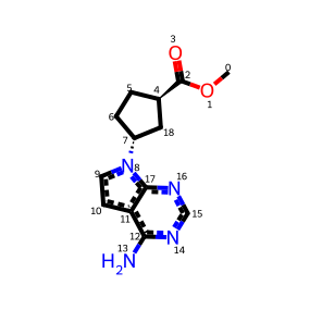 COC(=O)[C@@H]1CC[C@@H](n2ccc3c(N)ncnc32)C1